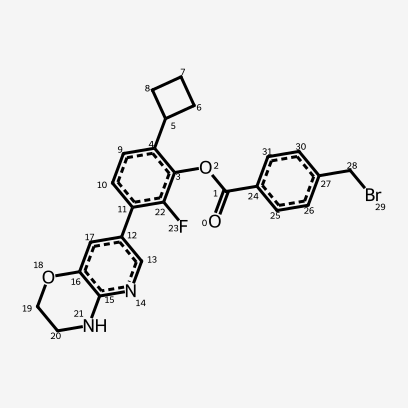 O=C(Oc1c(C2CCC2)ccc(-c2cnc3c(c2)OCCN3)c1F)c1ccc(CBr)cc1